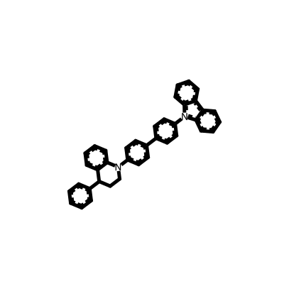 c1ccc(C2CCN(c3ccc(-c4ccc(-n5c6ccccc6c6ccccc65)cc4)cc3)c3ccccc32)cc1